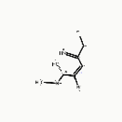 CN[C@H](O)/C(Br)=C\C(=N)CI